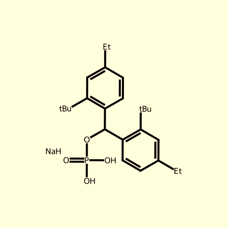 CCc1ccc(C(OP(=O)(O)O)c2ccc(CC)cc2C(C)(C)C)c(C(C)(C)C)c1.[NaH]